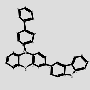 c1ccc(-c2ccc(N3c4ccccc4Oc4cc(-c5ccc6oc7ccccc7c6c5)ccc43)cc2)cc1